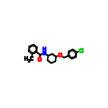 Cc1ccccc1C(=O)NC1CCCC(OCc2ccc(Cl)cc2)C1